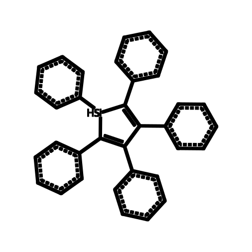 c1ccc(C2=C(c3ccccc3)[SiH](c3ccccc3)C(c3ccccc3)=C2c2ccccc2)cc1